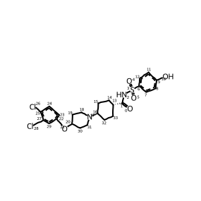 O=C(NS(=O)(=O)c1ccc(O)cc1)[C@H]1CC[C@H](N2CCC(Oc3ccc(Cl)c(Cl)c3)CC2)CC1